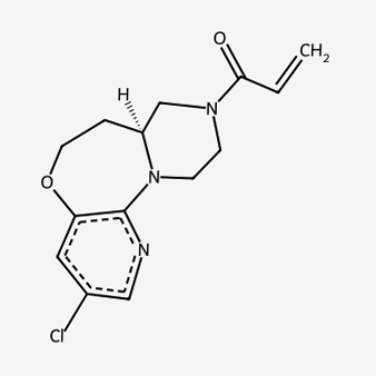 C=CC(=O)N1CCN2c3ncc(Cl)cc3OCC[C@H]2C1